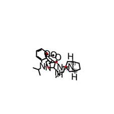 CC(C)n1nc(C(=O)N[C@@H]2C[C@H]3CC[C@@H](C2)N3CCN(C)C2CCS(=O)(=O)C2)c2ccccc21